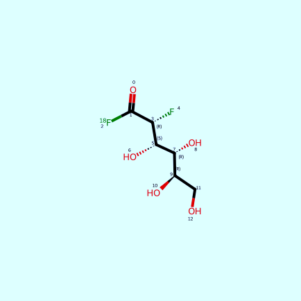 O=C([18F])[C@H](F)[C@@H](O)[C@H](O)[C@H](O)CO